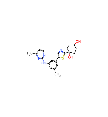 Cc1cc(Nc2nccc(C(F)(F)F)n2)cc(-c2cnc(C3(O)CCC(O)CC3)s2)c1